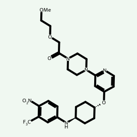 COCCOCC(=O)N1CCN(c2cc(O[C@H]3CC[C@H](Nc4ccc([N+](=O)[O-])c(C(F)(F)F)c4)CC3)ccn2)CC1